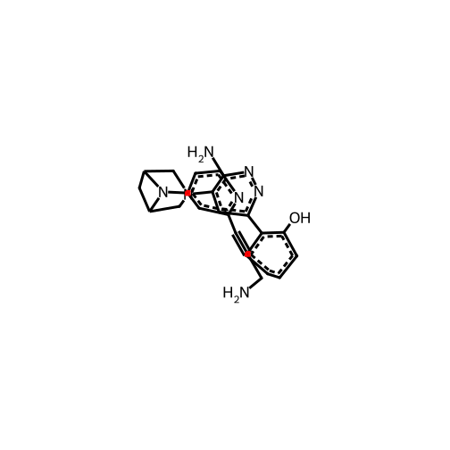 NCC#Cc1cc(N2C3CC2CN(c2cc(-c4ccccc4O)nnc2N)C3)ccn1